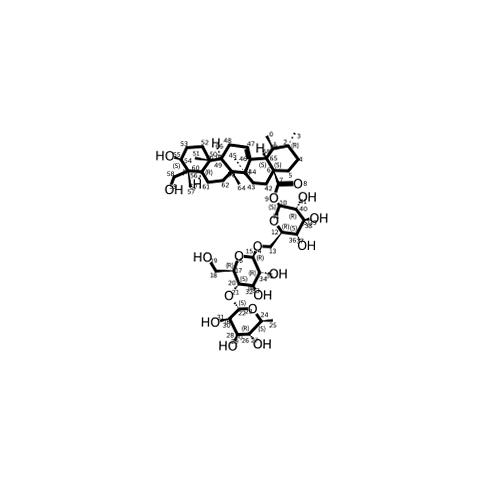 C[C@H]1[C@H](C)CC[C@]2(C(=O)O[C@@H]3O[C@H](CO[C@@H]4O[C@H](CO)[C@@H](O[C@@H]5O[C@@H](C)[C@H](O)[C@@H](O)[C@H]5O)[C@H](O)[C@H]4O)[C@@H](O)[C@H](O)[C@H]3O)CC[C@]3(C)C(=CC[C@@H]4[C@@]5(C)CC[C@H](O)[C@@](C)(CO)[C@@H]5CC[C@]43C)[C@H]12